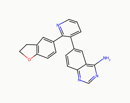 Nc1ncnc2ccc(-c3cccnc3-c3ccc4c(c3)CCO4)cc12